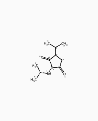 CC(C)BN1C(=O)CC(C(C)C)C1=O